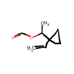 C=CC1(C(C)OC=O)CC1